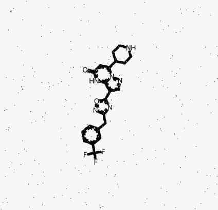 O=c1cc(C2CCNCC2)n2ncc(-c3nc(Cc4cccc(C(F)(F)F)c4)no3)c2[nH]1